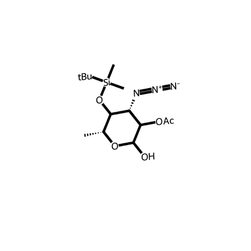 CC(=O)OC1C(O)O[C@H](C)C(O[Si](C)(C)C(C)(C)C)[C@@H]1N=[N+]=[N-]